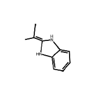 CC(C)=C1Nc2ccccc2N1